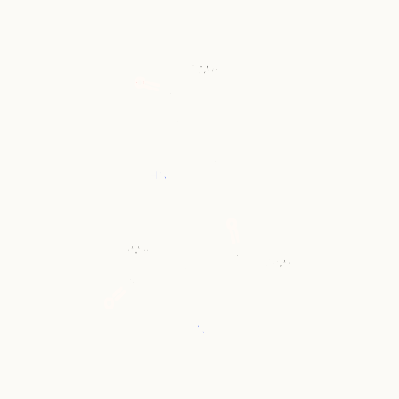 COC(=O)c1cncc(C(=O)OC)c1CCC1CCC(C(=O)OC)CN1